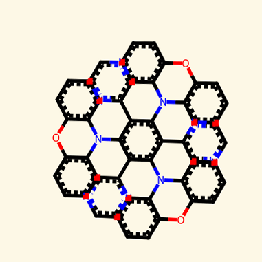 c1ccc2c(c1)Oc1ccccc1N2c1c(-c2cnccn2)c(N2c3ccccc3Oc3ccccc32)c(-c2cnccn2)c(N2c3ccccc3Oc3ccccc32)c1-c1cnccn1